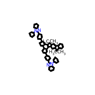 CC1(C)c2ccccc2-c2cc3c(cc21)-c1c(c2cc(-c4ccc(-c5nc6ccccc6n5-c5ccccc5)cc4)ccc2c2ccc(-c4ccc(-c5nc6ccccc6n5-c5ccccc5)cc4)cc12)C3(C)C